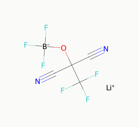 N#CC(C#N)(O[B-](F)(F)F)C(F)(F)F.[Li+]